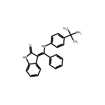 CC(C)(N)c1ccc(N/C(=C2\C(=O)Nc3ccccc32)c2ccccc2)cc1